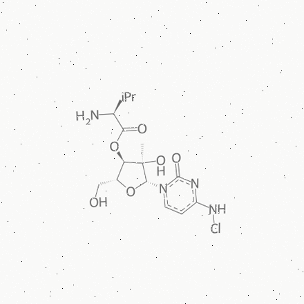 CC(C)[C@H](N)C(=O)O[C@@H]1[C@@H](CO)O[C@@H](n2ccc(NCl)nc2=O)[C@]1(C)O